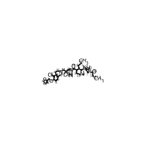 CCCC1C(NC2CN(C(=O)CC)C2)=NCCC1C(=O)NC[C@H](O)CN1CCc2c(ccc(OCc3cnco3)c2Cl)C1